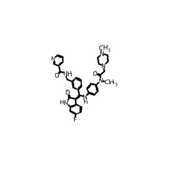 CN1CCN(CC(=O)N(C)c2ccc(NC(=C3C(=O)Nc4cc(F)ccc43)c3cccc(CNC(=O)c4cccnc4)c3)cc2)CC1